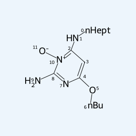 CCCCCCCNc1cc(OCCCC)nc(N)[n+]1[O-]